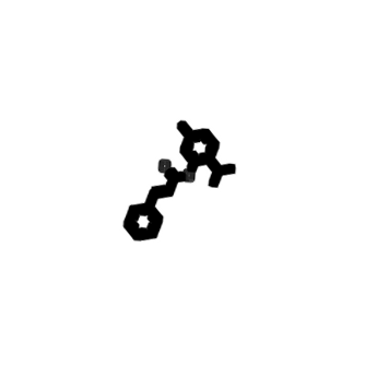 Cc1ccc(C(C)C)c(OC(=O)C=Cc2ccccc2)c1